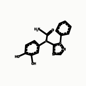 NC(=O)N(c1ccc(O)c(O)c1)c1ncnn1-c1ccccc1